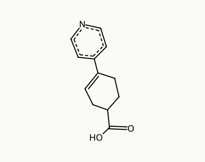 O=C(O)C1CC=C(c2ccncc2)CC1